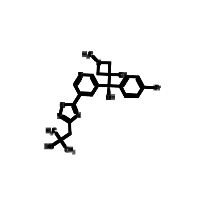 CC(C)c1ccc([C@](O)(c2cncc(-c3nc(CC(C)(C)O)no3)c2)C2(C)CN(C)C2)cc1